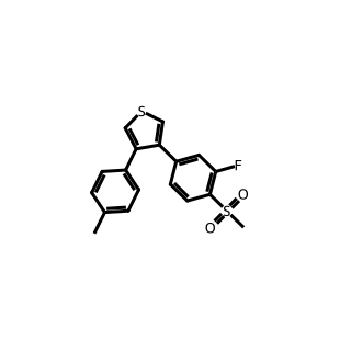 Cc1ccc(-c2cscc2-c2ccc(S(C)(=O)=O)c(F)c2)cc1